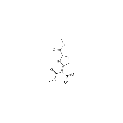 COC(=O)C(=C1CCC(C(=O)OC)N1)[N+](=O)[O-]